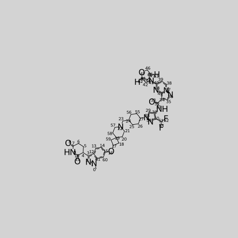 Cn1nc(C2CCC(=O)NC2=O)c2ccc(OC3CC4(CCN(CC5CCC(n6cc(NC(=O)c7cnn8ccc(N9C[C@H]%10C[C@@H]9CO%10)nc78)c(C(F)F)n6)CC5)CC4)C3)cc21